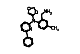 Cc1ccc(N(C2=COCO2)c2cccc(-c3ccccc3)n2)c(CN)c1